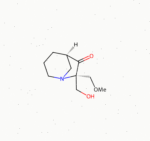 COC[C@@]1(CO)C(=O)[C@@H]2CCCN1C2